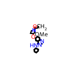 C=CC(=O)N1CCC(Oc2cc3c(Nc4ccccc4)ncnc3cc2OC)C1